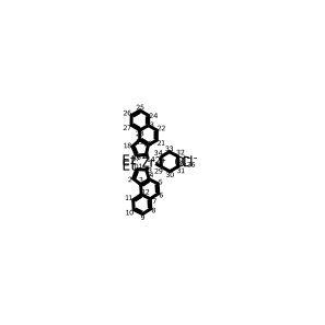 CCC1=Cc2c(ccc3ccccc23)[CH]1[Zr+2]1([CH]2C(CC)=Cc3c2ccc2ccccc32)[CH]2CCCC[CH]21.[Cl-].[Cl-]